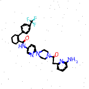 Nc1cccc(CC(=O)N2CCN(c3ccc(NC(=O)C4=C(c5ccc(C(F)(F)F)cc5)CCCC4)cn3)CC2)n1